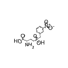 N[C@@H](CCP(=O)(O)Cc1cccc([N+](=O)[O-])c1)C(=O)O